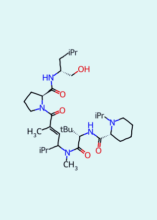 C/C(=C\C(C(C)C)N(C)C(=O)[C@@H](NC(=O)[C@H]1CCCCN1C(C)C)C(C)(C)C)C(=O)N1CCC[C@H]1C(=O)N[C@@H](CO)CC(C)C